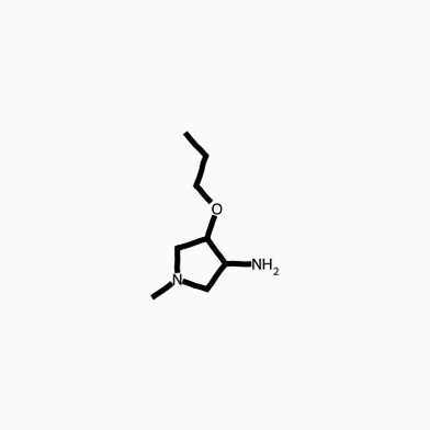 CCCOC1CN(C)CC1N